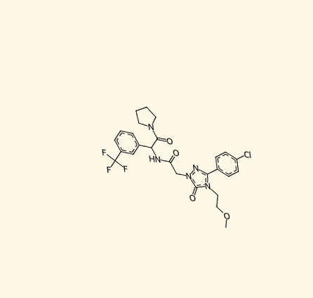 COCCn1c(-c2ccc(Cl)cc2)nn(CC(=O)NC(C(=O)N2CCCC2)c2cccc(C(F)(F)F)c2)c1=O